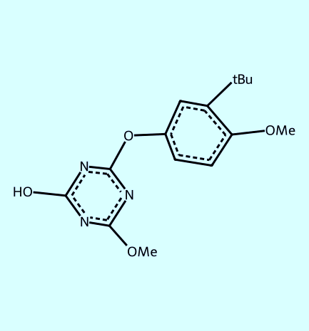 COc1nc(O)nc(Oc2ccc(OC)c(C(C)(C)C)c2)n1